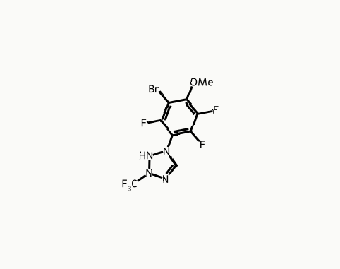 COc1c(F)c(F)c(N2C=NN(C(F)(F)F)N2)c(F)c1Br